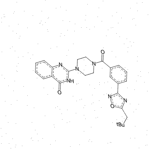 CC(C)(C)Cc1nc(-c2cccc(C(=O)N3CCN(c4nc5ccccc5c(=O)[nH]4)CC3)c2)no1